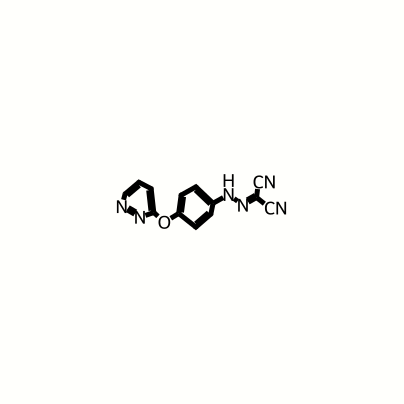 N#CC(C#N)=NNc1ccc(Oc2cccnn2)cc1